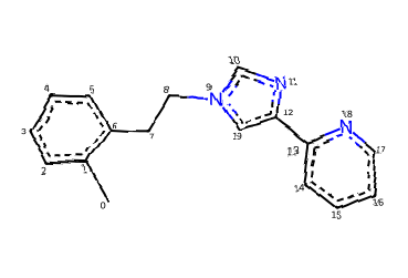 Cc1ccccc1CCn1cnc(-c2ccccn2)c1